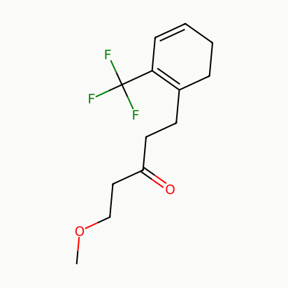 COCCC(=O)CCC1=C(C(F)(F)F)C=CCC1